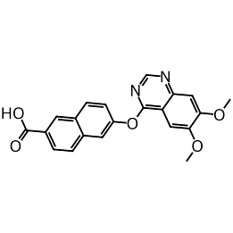 COc1cc2ncnc(Oc3ccc4cc(C(=O)O)ccc4c3)c2cc1OC